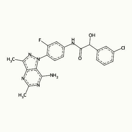 Cc1nc(N)c2c(n1)c(C)nn2-c1ccc(NC(=O)C(O)c2cccc(Cl)c2)cc1F